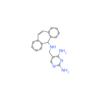 Nc1ncc(CNC2c3ccccc3C=Cc3ccccc32)c(N)n1